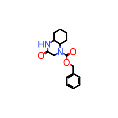 O=C1CN(C(=O)OCc2ccccc2)C2CCCCC2N1